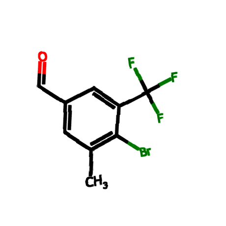 Cc1cc(C=O)cc(C(F)(F)F)c1Br